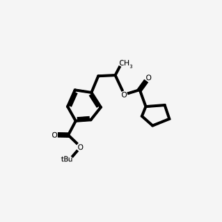 CC(Cc1ccc(C(=O)OC(C)(C)C)cc1)OC(=O)C1CCCC1